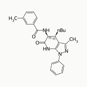 CCCC[C@H]1c2c(C)nn(-c3ccccc3)c2NC(=O)[C@H]1NC(=O)c1cccc(C)c1